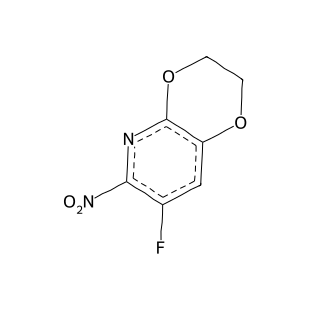 O=[N+]([O-])c1nc2c(cc1F)OCCO2